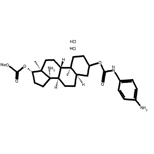 COC(=O)O[C@H]1CC[C@]2(N)[C@@H]3CC[C@@H]4CC(OC(=O)Nc5ccc(N)cc5)CC[C@]4(C)[C@H]3CC[C@]12C.Cl.Cl